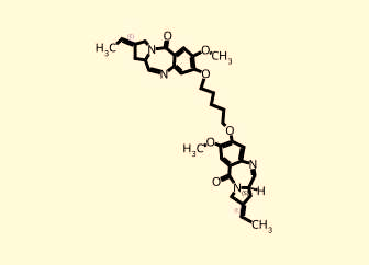 C/C=C1\CC2C=Nc3cc(OCCCCCOc4cc5c(cc4OC)C(=O)N4C/C(=C/C)C[C@H]4C=N5)c(OC)cc3C(=O)N2C1